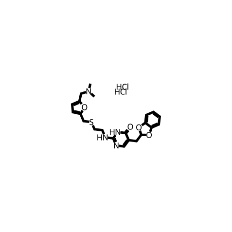 CN(C)Cc1ccc(CSCCNc2ncc(CC3Oc4ccccc4O3)c(=O)[nH]2)o1.Cl.Cl